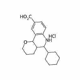 Cl.O=C(O)c1ccc2c(c1)C1OCCCC1C(C1CCCCC1)N2